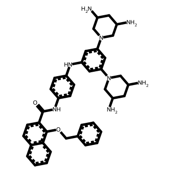 NC1CC(N)CN(c2cc(Nc3ccc(NC(=O)c4ccc5ccccc5c4OCc4ccccc4)cc3)cc(N3CC(N)CC(N)C3)c2)C1